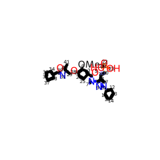 COc1cc(C(=O)N(C)c2nn(-c3ccccc3)cc2/C=C/P(=O)(O)O)ccc1OCc1nc(-c2ccccc2)oc1C